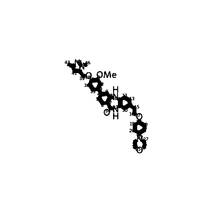 COc1cc(-c2ccc3c(c2)Nc2ccc(CCOc4ccc(N5CCOCC5)cc4)cc2NC3=O)ccc1OCc1cc(C)nn1C